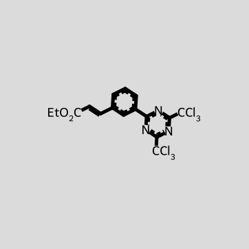 CCOC(=O)C=Cc1cccc(-c2nc(C(Cl)(Cl)Cl)nc(C(Cl)(Cl)Cl)n2)c1